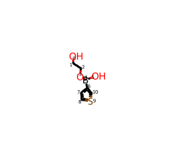 OCCOB(O)c1ccsc1